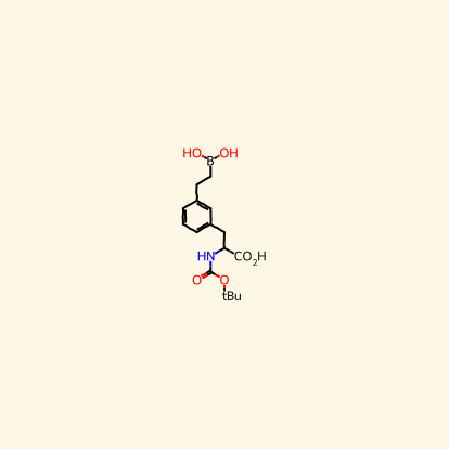 CC(C)(C)OC(=O)NC(Cc1cccc(CCB(O)O)c1)C(=O)O